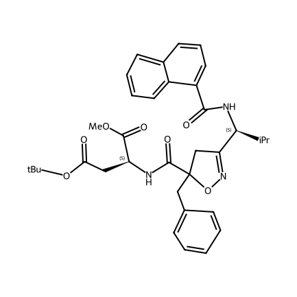 COC(=O)[C@H](CC(=O)OC(C)(C)C)NC(=O)C1(Cc2ccccc2)CC([C@@H](NC(=O)c2cccc3ccccc23)C(C)C)=NO1